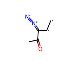 [CH2][CH]C(=[N+]=[N-])C(C)=O